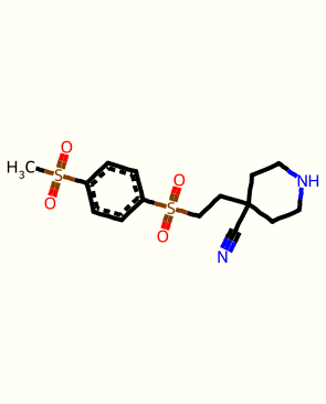 CS(=O)(=O)c1ccc(S(=O)(=O)CCC2(C#N)CCNCC2)cc1